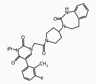 Cc1c(F)cccc1-c1cn(CC(=O)N2CCC(N3CCc4ccccc4NC3=O)CC2)c(=O)n(C(C)C)c1=O